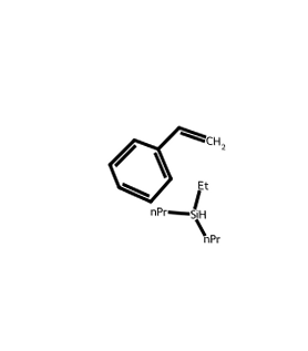 C=Cc1ccccc1.CCC[SiH](CC)CCC